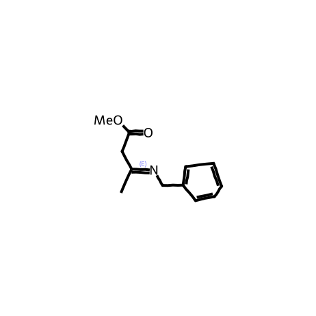 COC(=O)C/C(C)=N/Cc1ccccc1